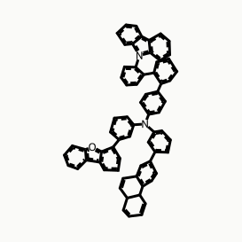 C1=CC2C=Cc3cc(-c4cccc(N(c5ccc(-c6ccccc6-c6ccccc6-n6c7ccccc7c7ccccc76)cc5)c5cccc(-c6cccc7c6oc6ccccc67)c5)c4)ccc3C2C=C1